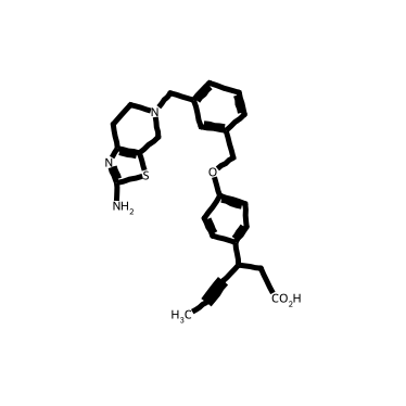 CC#CC(CC(=O)O)c1ccc(OCc2cccc(CN3CCc4nc(N)sc4C3)c2)cc1